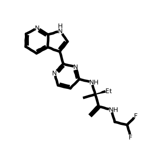 C=C(NCC(F)F)[C@@](C)(CC)Nc1ccnc(-c2c[nH]c3ncccc23)n1